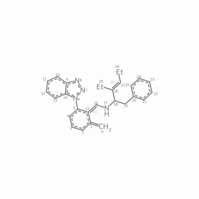 C=c1cccc(-n2nnc3ccccc32)/c1=C/NC(Cc1ccccc1)/C(=C/CC)CC